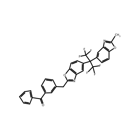 Cc1nc2cc(C(c3ccc4oc(Cc5cccc(C(=O)c6ccccc6)c5)nc4c3)(C(F)(F)F)C(F)(F)F)ccc2o1